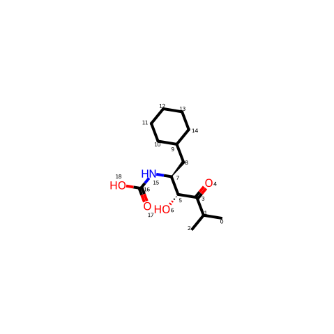 CC(C)C(=O)[C@H](O)[C@H](CC1CCCCC1)NC(=O)O